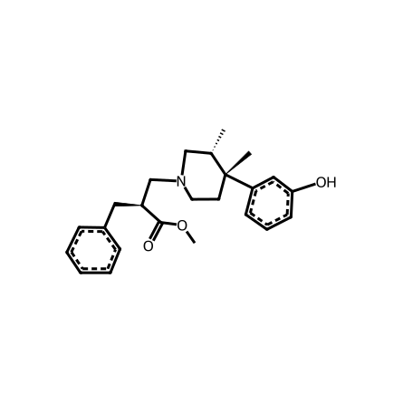 COC(=O)[C@@H](Cc1ccccc1)CN1CC[C@@](C)(c2cccc(O)c2)[C@@H](C)C1